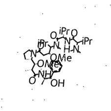 CO[C@H]([C@@H](C)C(=O)N[C@H](C)[C@@H](O)c1ccccc1)[C@@H]1CCCN1C(=O)C[C@@H](OC)C(C(C)C)N(C)C(=O)[C@@H](NC(=O)C(C(C)C)N(C)C)C(C)C